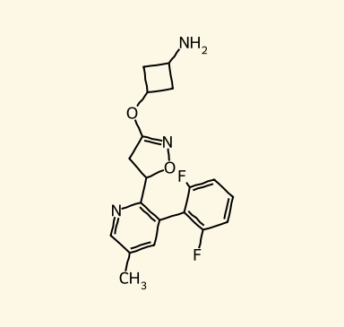 Cc1cnc(C2CC(OC3CC(N)C3)=NO2)c(-c2c(F)cccc2F)c1